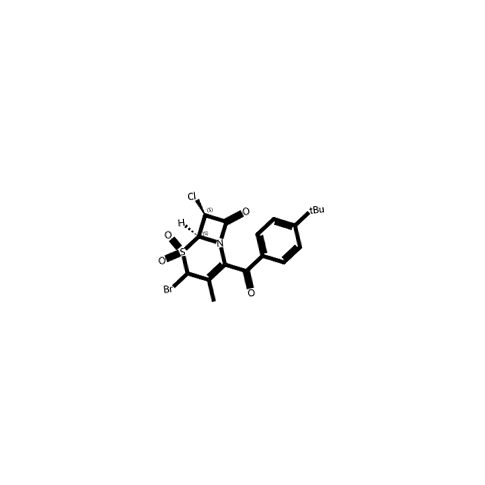 CC1=C(C(=O)c2ccc(C(C)(C)C)cc2)N2C(=O)[C@H](Cl)[C@@H]2S(=O)(=O)C1Br